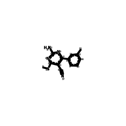 CSc1nc(N)nc(-c2cccc(C)c2)c1C#N